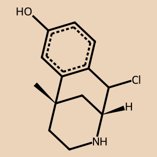 C[C@]12CCN[C@H](C1)C(Cl)c1ccc(O)cc12